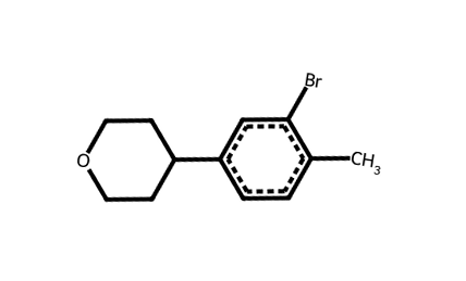 Cc1ccc(C2CCOCC2)cc1Br